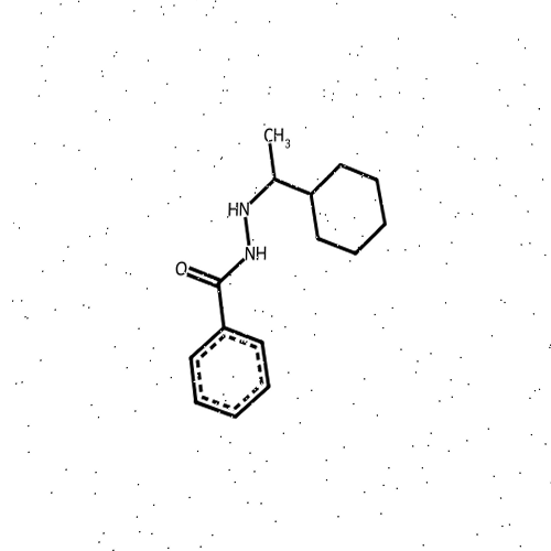 CC(NNC(=O)c1ccccc1)C1CCCCC1